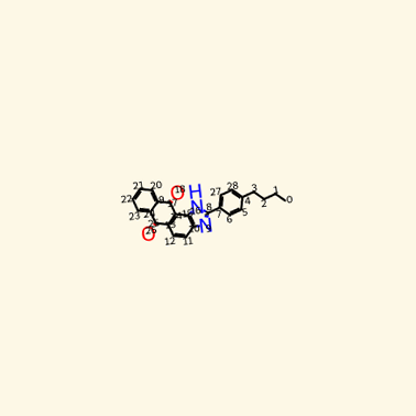 CCCCc1ccc(-c2nc3ccc4c(c3[nH]2)C(=O)c2ccccc2C4=O)cc1